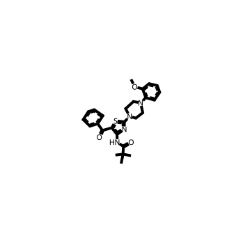 COc1ccccc1N1CCN(c2nc(NC(=O)C(C)(C)C)c(C(=O)c3ccccc3)s2)CC1